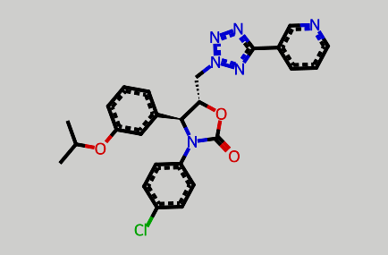 CC(C)Oc1cccc([C@H]2[C@H](Cn3nnc(-c4cccnc4)n3)OC(=O)N2c2ccc(Cl)cc2)c1